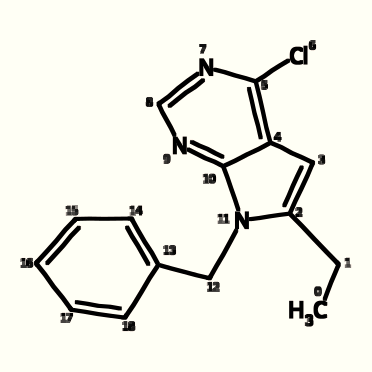 CCc1cc2c(Cl)ncnc2n1Cc1ccccc1